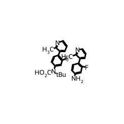 Cc1ncccc1-c1ccc(N(C(=O)O)C(C)(C)C)cc1F.Cc1ncccc1-c1ccc(N)cc1F